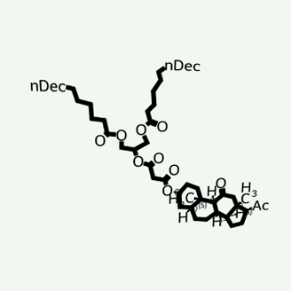 CCCCCCCCCCCCCCCC(=O)OCC(COC(=O)CCCCCCCCCCCCCCC)OC(=O)CC(=O)O[C@@H]1CC[C@@]2(C)[C@@H](CC[C@H]3[C@@H]4CC[C@H](C(C)=O)[C@@]4(C)CC(=O)[C@@H]32)C1